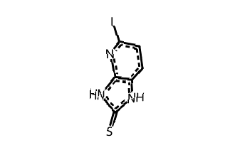 S=c1[nH]c2ccc(I)nc2[nH]1